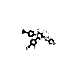 Cc1c(NC[C@H]2CCNC2)nc(-c2ccc(C#N)c(F)c2)n(-c2ccc(C3CC3)cc2)c1=O